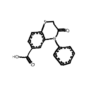 O=C(O)c1ccc2c(c1)N(c1ccccc1)C(=O)CS2